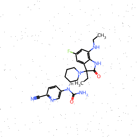 CCNc1cc(F)cc2c1NC(=O)C2(CC)N1CCC[C@@H](N(C(N)=O)c2ccc(C#N)nc2)C1